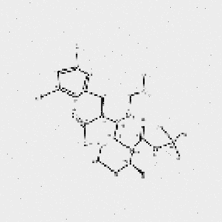 COCO[C@@H]([C@H](Cc1cc(F)cc(F)c1)C(=O)O)[C@H]1CCC[C@H](C)N1C(=O)OC(C)(C)C